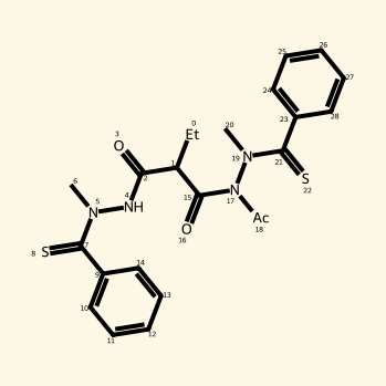 CCC(C(=O)NN(C)C(=S)c1ccccc1)C(=O)N(C(C)=O)N(C)C(=S)c1ccccc1